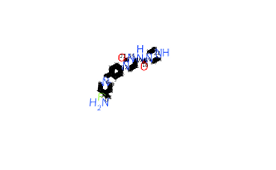 NCC1(F)CCN(Cc2ccc(-n3ccc(NC(=O)N4CCNCC4)nc3=O)cc2)CC1